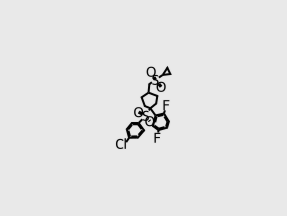 O=S(=O)(CC1CCC(c2cc(F)ccc2F)(S(=O)(=O)c2ccc(Cl)cc2)CC1)C1CC1